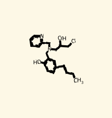 CCCCc1ccc(O)c(CN(Cc2ccccn2)CC(O)CCl)c1